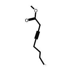 [CH2]CCCC#CCC(=O)OC